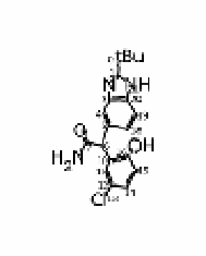 CC(C)(C)c1nc2cc(C(C(N)=O)c3cc(Cl)ccc3O)ccc2[nH]1